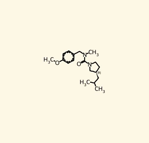 COc1ccc(CN(C)C(=O)N2CC[C@@H](CC(C)C)C2)cc1